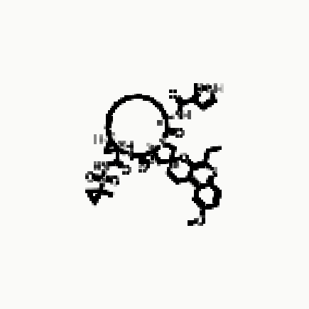 CCc1nc2ccc(OC)cc2c2c1O[C@]1(CC2)C[C@H]2C(=O)N[C@]3(C(=O)NS(=O)(=O)C4(C)CC4)C[C@H]3C=CCCCCC[C@H](NC(=O)c3cc[nH]n3)C(=O)N2C1